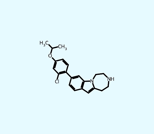 CC(C)Oc1ccc(-c2ccc3cc4n(c3c2)CCNCC4)c(Cl)c1